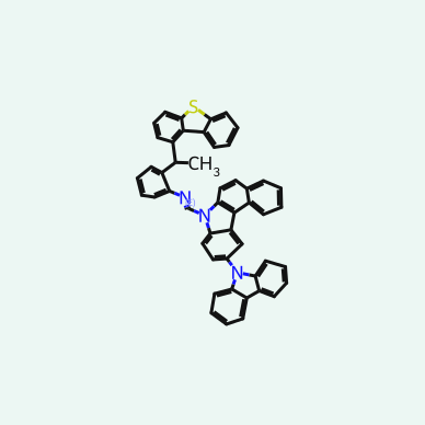 CC(c1ccccc1/N=C/n1c2ccc(-n3c4ccccc4c4ccccc43)cc2c2c3ccccc3ccc21)c1cccc2sc3ccccc3c12